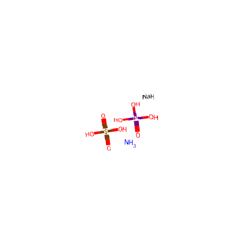 N.O=P(O)(O)O.O=S(=O)(O)O.[NaH]